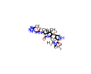 C[C@@H](NC(=O)Cn1nnnc1C(F)(F)F)[C@H]1C(=O)N2C(C(=O)O)=C(S[C@@H]3CN[C@H](C(=O)N(C)C)C3)[C@H](C)[C@H]12